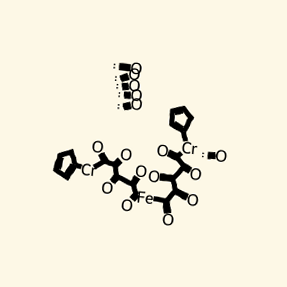 O=[C]([Cr][C]1=CC=CC1)C(=O)C(=O)C(=O)[C](=O)[Fe][C](=O)C(=O)C(=O)C(=O)[C](=O)[Cr][C]1=CC=CC1.[C]=O.[C]=O.[C]=O.[C]=O.[C]=O.[C]=O